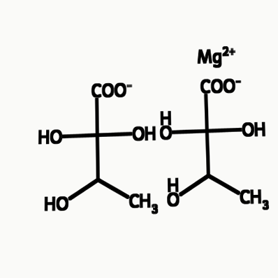 CC(O)C(O)(O)C(=O)[O-].CC(O)C(O)(O)C(=O)[O-].[Mg+2]